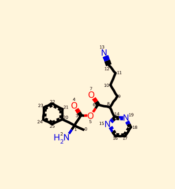 CC(N)(C(=O)OC(=O)C(CCCC#N)c1ncccn1)c1ccccc1